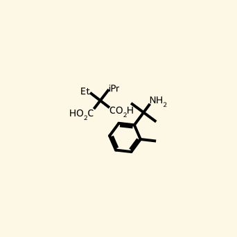 CCC(C(=O)O)(C(=O)O)C(C)C.Cc1ccccc1C(C)(C)N